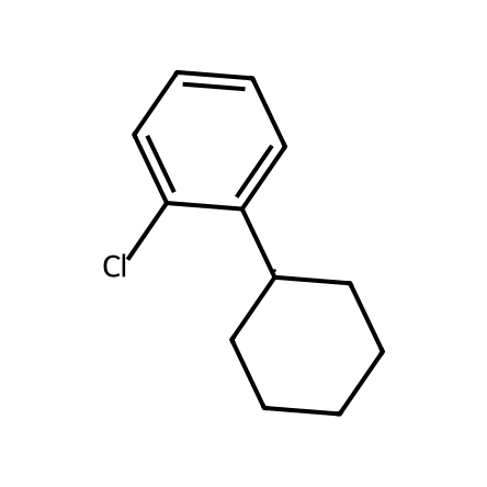 Clc1ccccc1[C]1CCCCC1